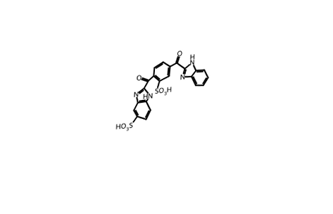 O=C(c1ccc(C(=O)c2nc3cc(S(=O)(=O)O)ccc3[nH]2)c(S(=O)(=O)O)c1)c1nc2ccccc2[nH]1